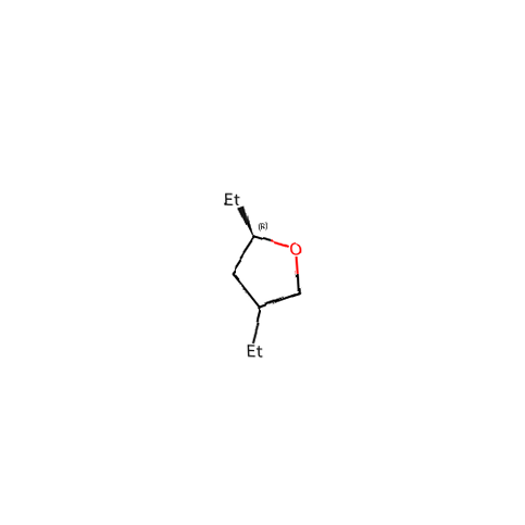 CCC1CO[C@H](CC)C1